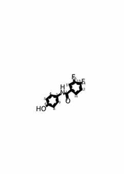 O=C(Nc1ccc(O)cc1)c1ccc(F)c(F)c1